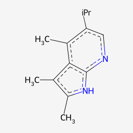 Cc1[nH]c2ncc(C(C)C)c(C)c2c1C